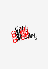 [CaH2].[CaH2].[O]=[Al][OH].[O]=[Al][OH].[O]=[Al][OH].[O]=[Al][OH].[Zn]